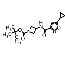 CC(C)(C)OC(=O)N1CC(NC(=O)c2cc(C3CC3)on2)C1